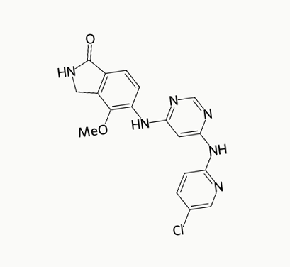 COc1c(Nc2cc(Nc3ccc(Cl)cn3)ncn2)ccc2c1CNC2=O